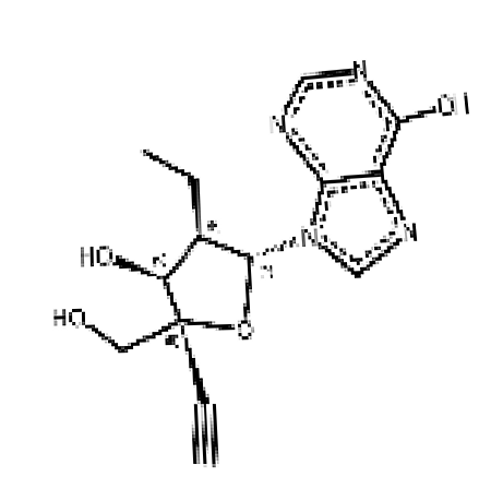 C#C[C@]1(CO)O[C@@H](n2cnc3c(O)ncnc32)[C@H](CC)[C@@H]1O